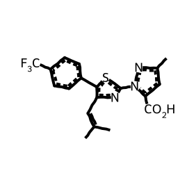 CC(C)=Cc1nc(-n2nc(C)cc2C(=O)O)sc1-c1ccc(C(F)(F)F)cc1